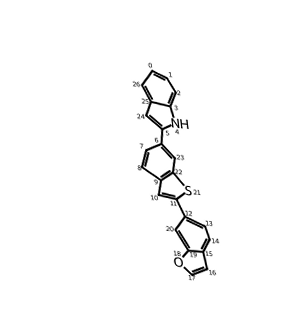 c1ccc2[nH]c(-c3ccc4cc(-c5ccc6ccoc6c5)sc4c3)cc2c1